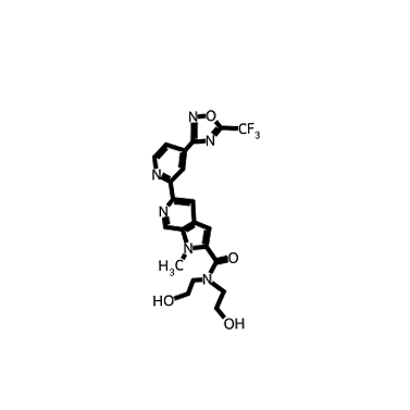 Cn1c(C(=O)N(CCO)CCO)cc2cc(-c3cc(-c4noc(C(F)(F)F)n4)ccn3)ncc21